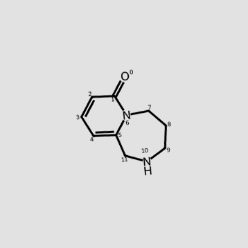 O=c1cccc2n1CCCNC2